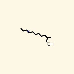 CC/C=C/CCCCCC(C)CO